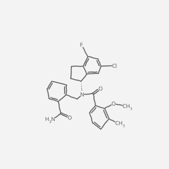 COc1c(C)cccc1C(=O)N(Cc1ccccc1C(N)=O)[C@@H]1CCc2c(F)cc(Cl)cc21